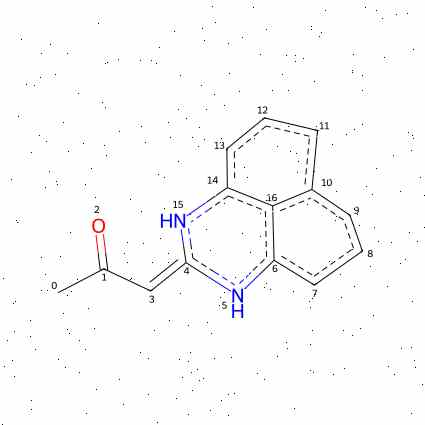 CC(=O)C=c1[nH]c2cccc3cccc([nH]1)c32